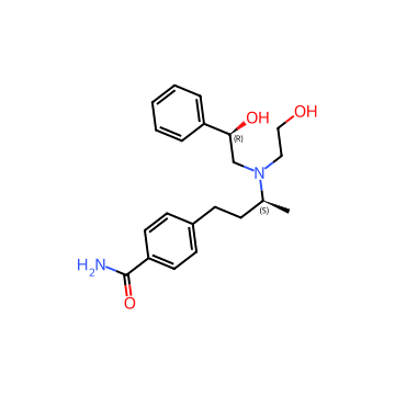 C[C@@H](CCc1ccc(C(N)=O)cc1)N(CCO)C[C@H](O)c1ccccc1